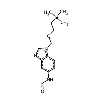 C[Si](C)(C)CCOCn1cnc2cc(NC=O)ccc21